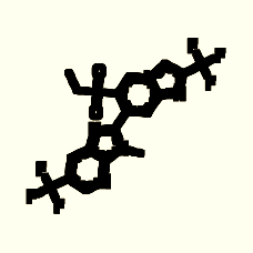 CCS(=O)(=O)c1cn2cc(C(F)(F)F)nc2cc1-c1nc2cc(C(F)(F)F)cnc2n1C